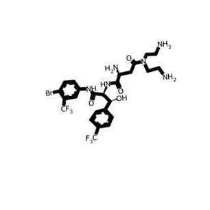 NCCN(CCN)C(=O)C[C@H](N)C(=O)N[C@H](C(=O)Nc1ccc(Br)c(C(F)(F)F)c1)[C@H](O)c1ccc(C(F)(F)F)cc1